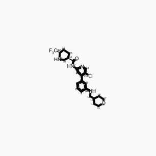 O=C(Nc1cc(-c2cccc(NCC3CCOCC3)c2)c(Cl)cn1)[C@@H]1CC[C@@H](C(F)(F)F)NC1